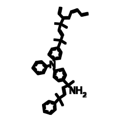 C=C/C=C\C=C(/C=C)C(C)(C)/C=C/C(C)(C)c1ccc(N(c2ccccc2)c2ccc(C(C)(N)/C=C/C(C)(C)c3ccccc3)cc2)cc1